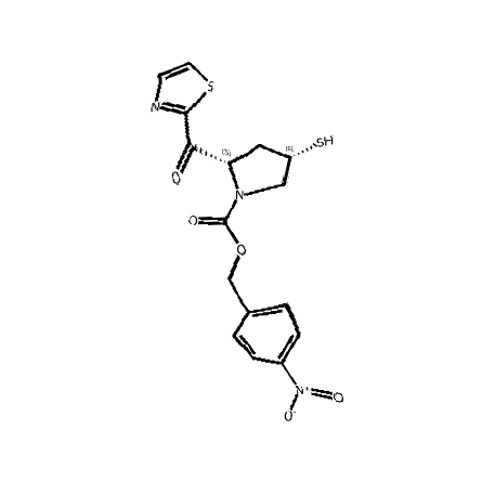 O=C(c1nccs1)[C@@H]1C[C@H](S)CN1C(=O)OCc1ccc([N+](=O)[O-])cc1